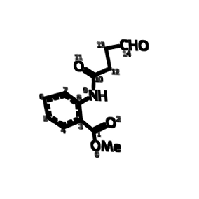 COC(=O)c1ccccc1NC(=O)CCC=O